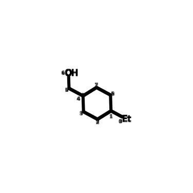 CCC1CC[C](CO)CC1